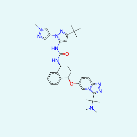 CN(C)C(C)(C)c1nnc2ccc(O[C@@H]3CC[C@H](NC(=O)Nc4cc(C(C)(C)C)nn4-c4cnn(C)c4)c4ccccc43)cn12